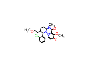 COCCC1CCC2N(C)C(=O)c3c(OC)c(=O)ccn3N2C1c1ccccc1Cl